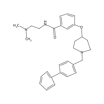 CN(C)CCNC(=O)c1cccc(OC2CCN(Cc3ccc(-c4ccccc4)cc3)CC2)c1